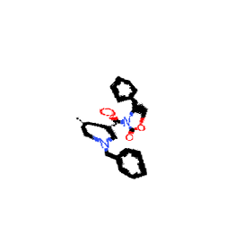 C[C@H]1CN(Cc2ccccc2)C[C@H]1C(=O)N1C(=O)OCC1c1ccccc1